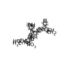 CC(C)(O)CCNc1ccc(S(=O)(=O)NC(=O)c2ccc(N3CCN(CC4=C(c5ccc(Cl)cc5)CC(C)(C)CC4)CC3)cc2Oc2cnc3[nH]ccc3c2)cc1[N+](=O)[O-]